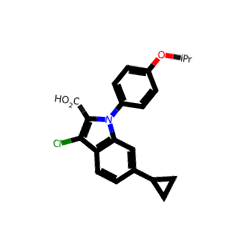 CC(C)Oc1ccc(-n2c(C(=O)O)c(Cl)c3ccc(C4CC4)cc32)cc1